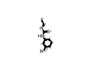 S=C(/N=C/I)Nc1cccc(Br)c1